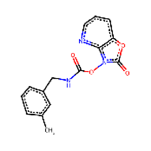 Cc1cccc(CNC(=O)On2c(=O)oc3cccnc32)c1